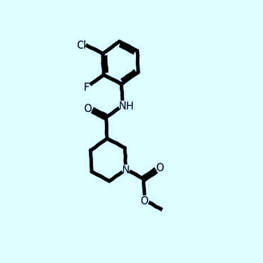 COC(=O)N1CCCC(C(=O)Nc2cccc(Cl)c2F)C1